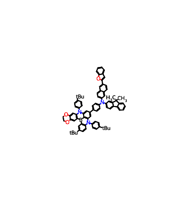 CC(C)(C)c1ccc(N2c3ccc(C(C)(C)C)cc3B3c4cc5c(cc4N(c4ccc(C(C)(C)C)cc4)c4cc(-c6ccc(N(c7ccc8c(c7)C(C)(C)c7ccccc7-8)c7ccc8cc(-c9cc%10ccccc%10o9)ccc8c7)cc6)cc2c43)OCCO5)cc1